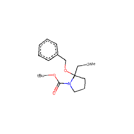 COCC1(OCc2ccccc2)CCCN1C(=O)OC(C)(C)C